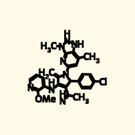 C=C1C(Nc2cccnc2OC)=C(C(C)=N)C(c2ccc(Cl)cc2)N1c1cc(C)c2c(n1)N(C)NN2